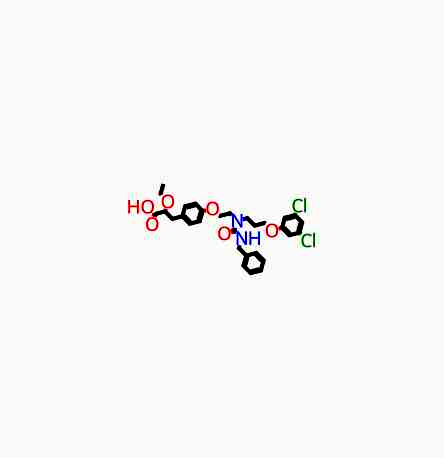 CCOC(Cc1ccc(OCCN(CCCOc2cc(Cl)cc(Cl)c2)C(=O)NCc2ccccc2)cc1)C(=O)O